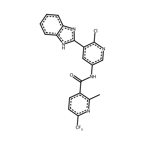 Cc1nc(C(F)(F)F)ccc1C(=O)Nc1cnc(Cl)c(-c2nc3ccccc3[nH]2)c1